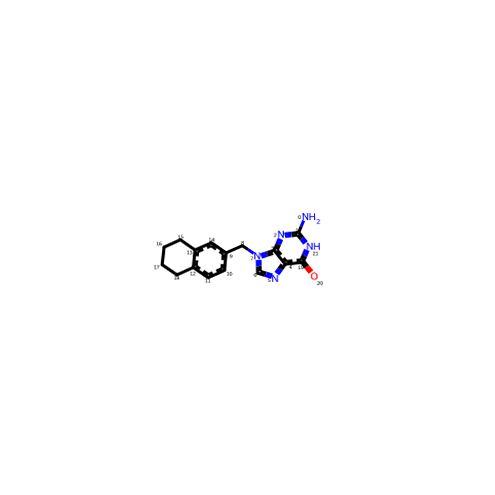 Nc1nc2c(ncn2Cc2ccc3c(c2)CCCC3)c(=O)[nH]1